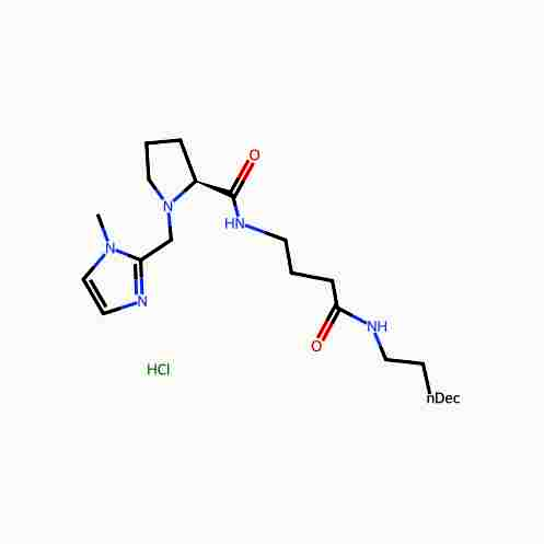 CCCCCCCCCCCCNC(=O)CCCNC(=O)[C@@H]1CCCN1Cc1nccn1C.Cl